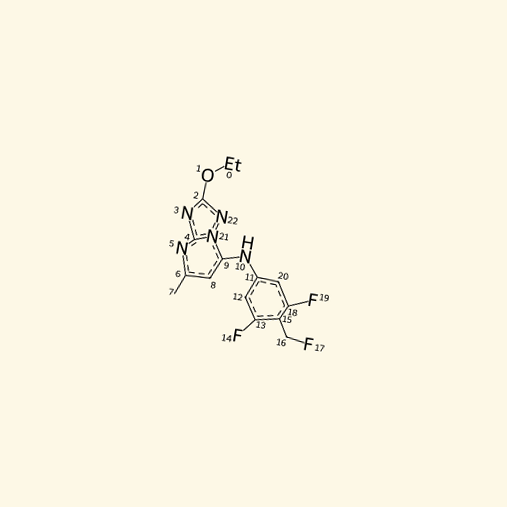 CCOc1nc2nc(C)cc(Nc3cc(F)c(CF)c(F)c3)n2n1